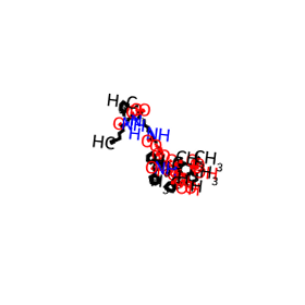 C#CCCCC(=O)N[C@H](Cc1ccccc1)C(=O)N[C@@H](CCCCNC(=O)COCC(=O)O[C@@H](C(=O)O[C@H]1C[C@@]2(O)[C@@H](OC(=O)c3ccccc3)[C@@H]3[C@]4(OC(C)O)CO[C@@H]4C[C@H](O)[C@@]3(C)C(=O)[C@H](OC(C)=O)C(=C1C)C2(C)C)C(NC(=O)c1ccccc1)c1ccccc1)C(=O)OCC